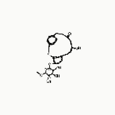 COC1O[C@@H](Oc2ccc3cc2Oc2ccc(cc2)CCC(=O)CC(O)CC3)C(O)C(O)[C@H]1O